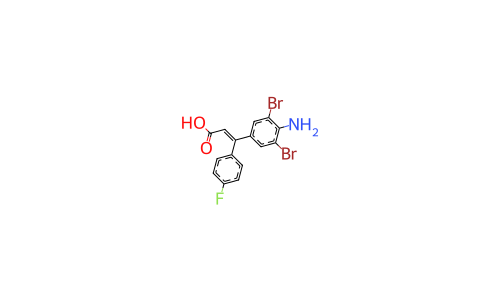 Nc1c(Br)cc(C(=CC(=O)O)c2ccc(F)cc2)cc1Br